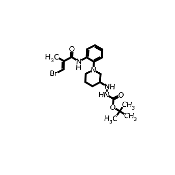 CC(=CBr)C(=O)Nc1ccccc1N1CCCC(NNC(=O)OC(C)(C)C)C1